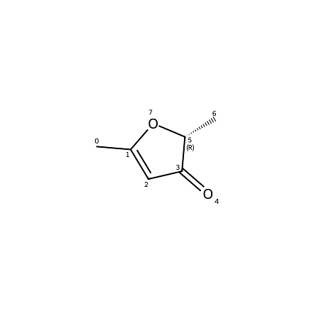 CC1=CC(=O)[C@@H](C)O1